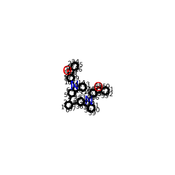 c1ccc(-c2ccc3c(c2)c2ccccc2n3-c2ccc3oc4ccccc4c3c2)c(-c2ccc3c(c2)c2ccccc2n3-c2ccc3oc4ccccc4c3c2)c1